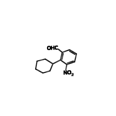 O=Cc1cccc([N+](=O)[O-])c1C1CCCCC1